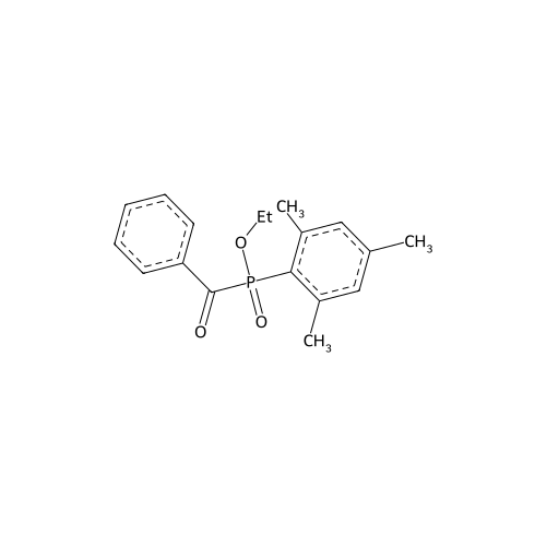 CCOP(=O)(C(=O)c1ccccc1)c1c(C)cc(C)cc1C